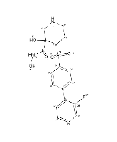 O=C(NO)C1(O)CNCCC1S(=O)(=O)c1ccc(-c2ccccc2F)cc1